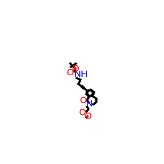 COC(=O)CCN1CCCc2ccc(C#CCCCNC(=O)OC(C)(C)C)cc2C1=O